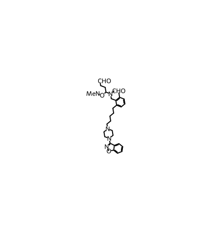 CNOC(CCC=O)N(C=O)Cc1c(C)cccc1CCCCCN1CCN(c2noc3ccccc23)CC1